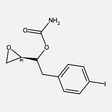 NC(=O)OC(Cc1ccc(I)cc1)[C@H]1CO1